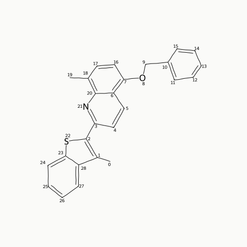 Cc1c(-c2ccc3c(OCc4ccccc4)ccc(C)c3n2)sc2ccccc12